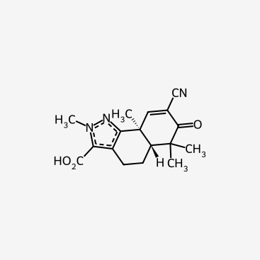 Cn1nc2c(c1C(=O)O)CC[C@H]1C(C)(C)C(=O)C(C#N)=C[C@]21C